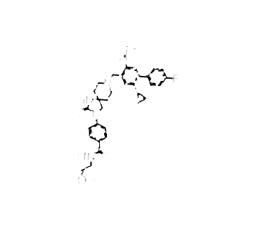 CCOc1cc(-c2ccc(F)cc2)c(C2CC2)cc1CN1CCC2(CC1)CN(c1ccc(C(=O)NCCO)cc1)C(=O)N2